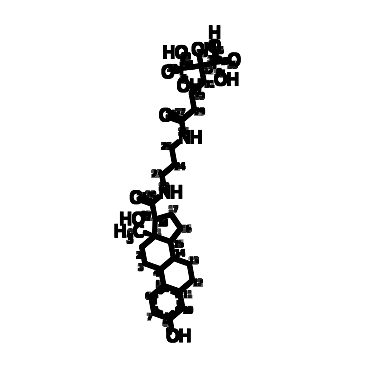 C[C@]12CCC3c4ccc(O)cc4CCC3C1CC[C@]2(O)C(=O)NCCCNC(=O)CCCC(O)(P(=O)(O)O)P(=O)(O)O